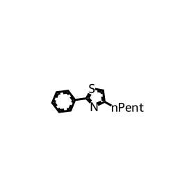 [CH2]CCCCc1csc(-c2ccccc2)n1